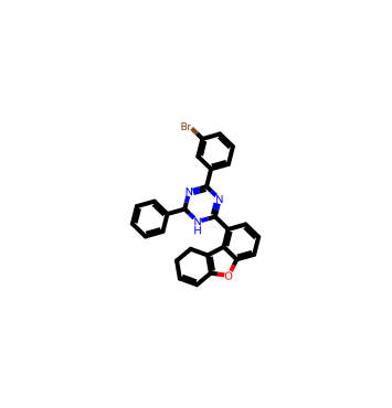 Brc1cccc(C2=NC(c3ccccc3)NC(c3cccc4oc5c(c34)CCC=C5)=N2)c1